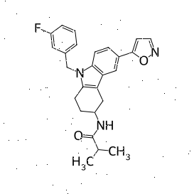 CC(C)C(=O)NC1CCc2c(c3cc(-c4ccno4)ccc3n2Cc2cccc(F)c2)C1